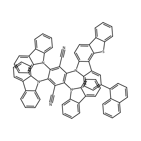 N#Cc1c(-n2c3ccccc3c3ccccc32)c(-n2c3ccccc3c3ccccc32)c(C#N)c(-n2c3ccc(-c4cccc5ccccc45)cc3c3c4sc5ccccc5c4ccc32)c1-n1c2ccccc2c2ccccc21